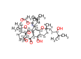 C=C(C)C(O)CC[C@]1(C)CCc2c(O)c3c(c(CC=C(C)C)c2O1)O[C@]12C(=CC4CC1C(C)(C)OC2(C/C=C(/C)OC=O)C4=O)C3=O